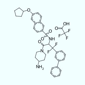 NC1CCN(C(=O)C(NS(=O)(=O)c2ccc3cc(OC4CCCC4)ccc3c2)C(F)(F)c2cccc(-c3ccccc3)c2)CC1.O=C(O)C(F)(F)F